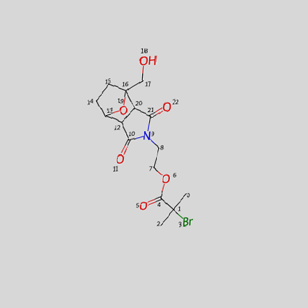 CC(C)(Br)C(=O)OCCN1C(=O)C2C3CCC(CO)(O3)C2C1=O